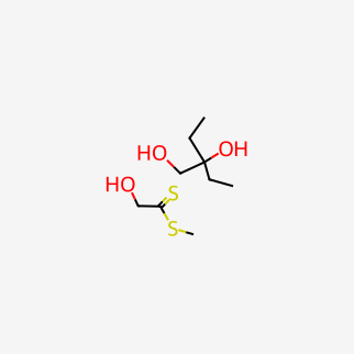 CCC(O)(CC)CO.CSC(=S)CO